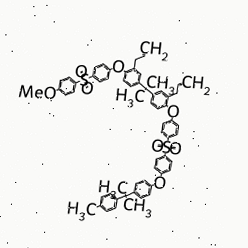 C=CCc1cc(C(C)(C)c2ccc(Oc3ccc(S(=O)(=O)c4ccc(Oc5ccc(C(C)(C)c6ccc(C)cc6)cc5)cc4)cc3)c(CC=C)c2)ccc1Oc1ccc(S(=O)(=O)c2ccc(OC)cc2)cc1